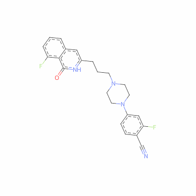 N#Cc1ccc(N2CCN(CCCc3cc4cccc(F)c4c(=O)[nH]3)CC2)cc1F